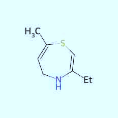 CCC1=CSC(C)=CCN1